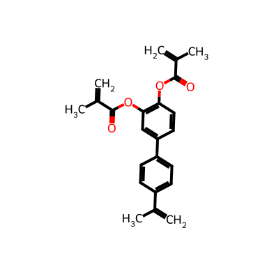 C=C(C)C(=O)Oc1ccc(-c2ccc(C(=C)C)cc2)cc1OC(=O)C(=C)C